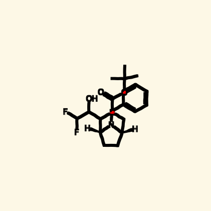 CC(C)(C)OC(=O)N1C[C@@H]2CC[C@H](C1C(O)C(F)F)N2Cc1ccccc1